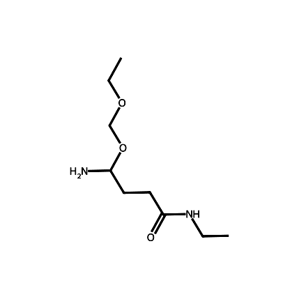 CCNC(=O)CCC(N)OCOCC